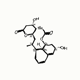 C[C@@H](C[C@@H]1C[C@@H](O)CC(=O)O1)[C@@H]1CC=CC2=C[C@@H](O)C[C@H](OC(=O)C(C)(C)C)[C@@H]21